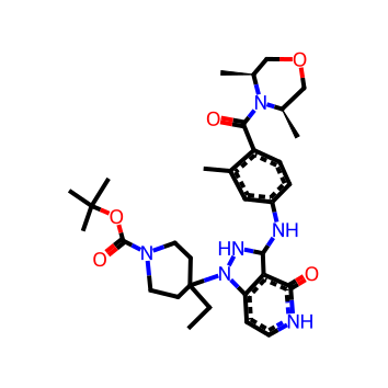 CCC1(N2NC(Nc3ccc(C(=O)N4[C@H](C)COC[C@@H]4C)c(C)c3)c3c2cc[nH]c3=O)CCN(C(=O)OC(C)(C)C)CC1